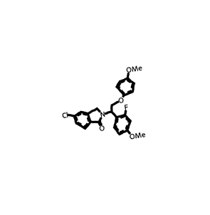 COc1ccc(OCC(c2ccc(OC)cc2F)N2Cc3cc(Cl)ccc3C2=O)cc1